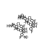 CC(C)n1c(=O)c(-c2cc(NC(=O)Nc3cccc(F)c3)c(F)cc2Cl)cc2cnc(NC(=O)N(C)C)cc21.CCn1c(=O)c(-c2cc(NC(=O)Nc3ccc(F)c(CN4CCCC4)c3)c(F)cc2Cl)cc2cnc(NC)cc21